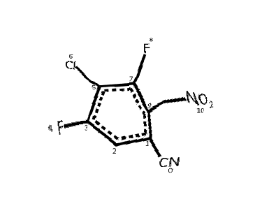 N#Cc1cc(F)c(Cl)c(F)c1[N+](=O)[O-]